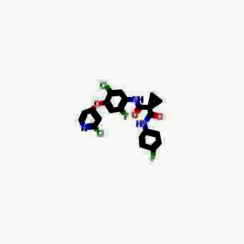 O=C(Nc1ccc(F)cc1)C1(C(=O)Nc2cc(Cl)c(Oc3ccnc(Cl)c3)cc2F)CC1